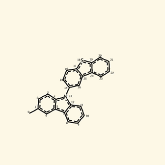 Cc1ccc2c(c1)c1ccccc1n2-c1ccc2sc3ccccc3c2c1